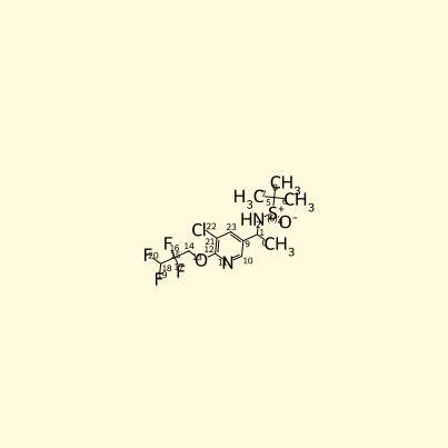 CC(N[S@+]([O-])C(C)(C)C)c1cnc(OCC(F)(F)C(F)F)c(Cl)c1